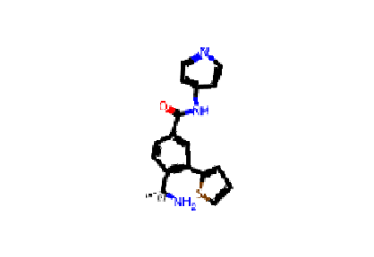 C[C@@H](N)c1ccc(C(=O)Nc2ccncc2)cc1-c1cccs1